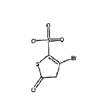 O=C1CC(Br)=C(S(=O)(=O)Cl)S1